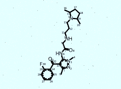 Cc1nn(C)c(NC(=O)CNCCCN2C(C)CCC2C)c1C(=O)c1ccccc1F